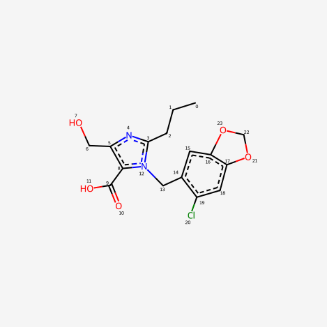 CCCc1nc(CO)c(C(=O)O)n1Cc1cc2c(cc1Cl)OCO2